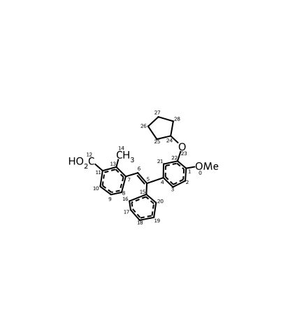 COc1ccc(C(=Cc2cccc(C(=O)O)c2C)c2ccccc2)cc1OC1CCCC1